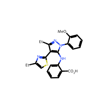 CCc1csc(-c2c(CC)nn(-c3ccccc3OC)c2Nc2ccccc2C(=O)O)n1